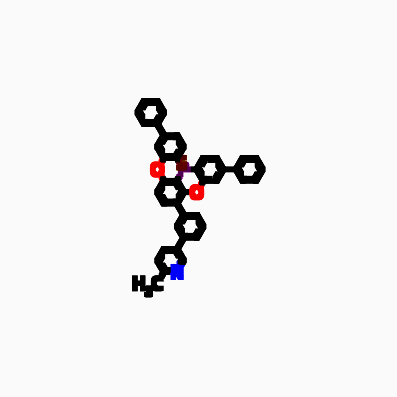 Cc1ccc(-c2cccc(-c3ccc4c5c3Oc3cc(-c6ccccc6)ccc3P5(=S)c3ccc(-c5ccccc5)cc3O4)c2)cn1